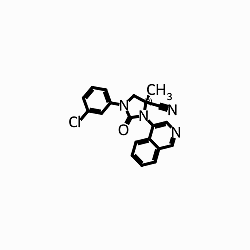 C[C@]1(C#N)CN(c2cccc(Cl)c2)C(=O)N1c1cncc2ccccc12